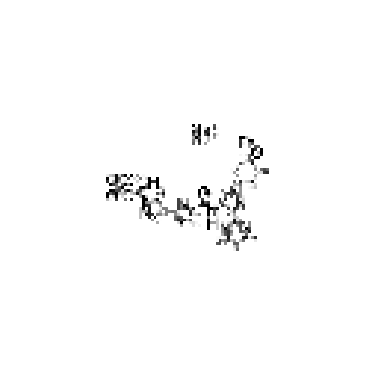 CCOC1CCC(n2cc(NC(=O)c3csc(-c4cnn(C(C)OP(=O)([O-])[O-])c4)n3)c(-c3ncccn3)n2)CC1.[Na+].[Na+]